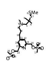 CSSC(C)(C)CN(C)CCCc1cc(COS(C)(=O)=O)nc(COS(C)(=O)=O)c1